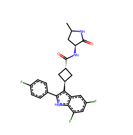 CC1C[C@H](NC(=O)[C@H]2C[C@H](c3c(-c4ccc(F)cc4)[nH]c4c(F)cc(F)cc43)C2)C(=O)N1